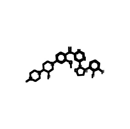 COc1cc(N2CCC(N3CCN(C)CC3)C(F)C2)ccc1Nc1cc(N2OCC[C@@H]2c2cccc(F)c2F)ncn1